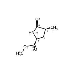 COC(=O)[C@@H]1C[C@H](C)C(=O)N1